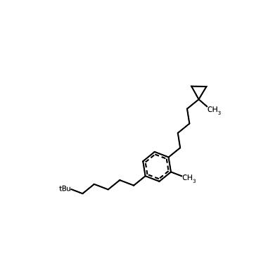 Cc1cc(CCCCCC(C)(C)C)ccc1CCCCC1(C)CC1